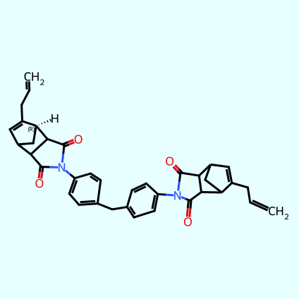 C=CCC1=CC2CC1C1C(=O)N(c3ccc(Cc4ccc(N5C(=O)C6C7C=C(CC=C)[C@H](C7)C6C5=O)cc4)cc3)C(=O)C21